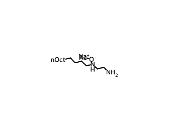 CC(=O)[O-].CCCCCCCCCCCCNCCN.[Na+]